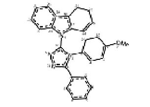 COC1=CC=C(n2c(-c3ccccc3)nnc2-n2c3c(c4ccccc42)CCC=C3)CC1